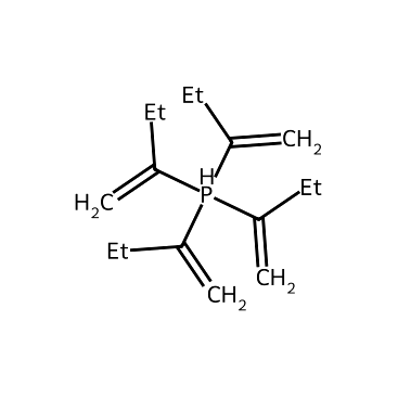 C=C(CC)[PH](C(=C)CC)(C(=C)CC)C(=C)CC